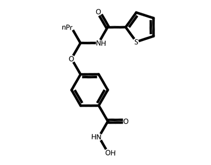 CCCC(NC(=O)c1cccs1)Oc1ccc(C(=O)NO)cc1